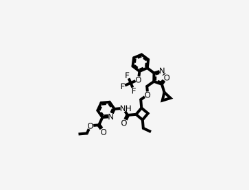 CCOC(=O)c1cccc(NC(=O)C2C(CC)CC2COCc2c(-c3ccccc3OC(F)(F)F)noc2C2CC2)n1